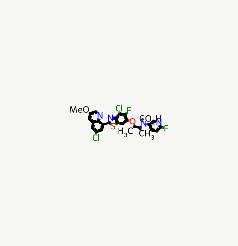 COc1cnc2c(-c3nc4c(Cl)c(F)c(O[C@@H](C)C(C)N(C(=O)O)c5ccc(F)nc5)cc4s3)cc(Cl)cc2c1